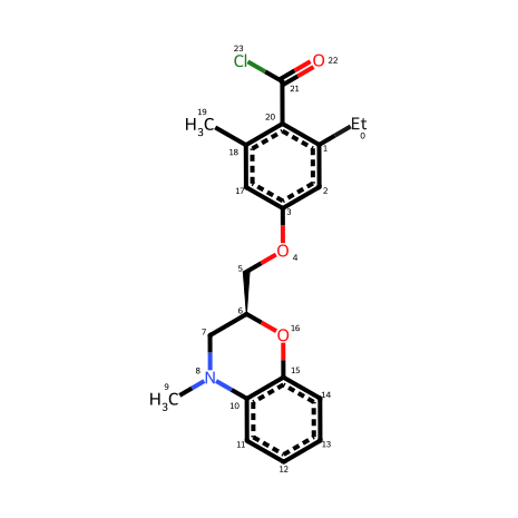 CCc1cc(OC[C@@H]2CN(C)c3ccccc3O2)cc(C)c1C(=O)Cl